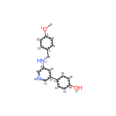 COc1ccc(CNc2cncc(-c3ccc(O)cc3)c2)cc1